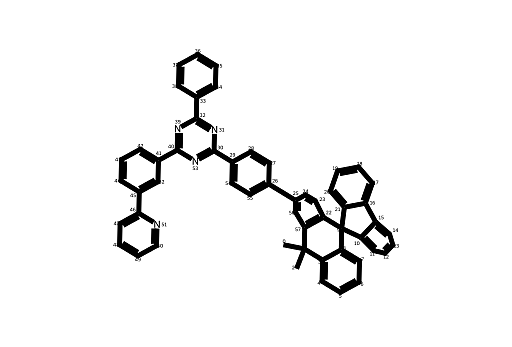 CC1(C)c2ccccc2C2(c3ccccc3-c3ccccc32)c2ccc(-c3ccc(-c4nc(-c5ccccc5)nc(-c5cccc(-c6ccccn6)c5)n4)cc3)cc21